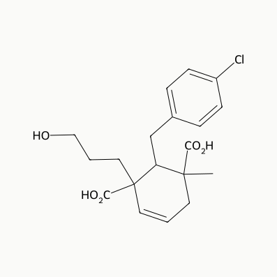 CC1(C(=O)O)CC=CC(CCCO)(C(=O)O)C1Cc1ccc(Cl)cc1